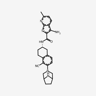 Cc1ccc2c(N)c(C(=O)N[C@H]3CCc4c(ccc(N5CC6CCC(C5)N6)c4C#N)C3)sc2n1